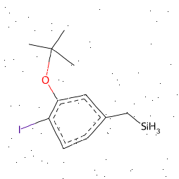 CC(C)(C)Oc1cc(C[SiH3])ccc1I